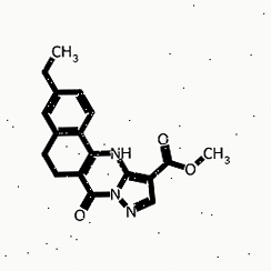 CCc1ccc2c(c1)CCc1c-2[nH]c2c(C(=O)OC)cnn2c1=O